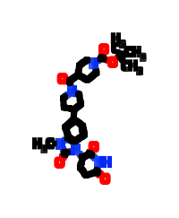 Cn1c(=O)n(C2CCC(=O)NC2=O)c2ccc(C3CCN(C(=O)C4CCN(C(=O)OC(C)(C)C)CC4)CC3)cc21